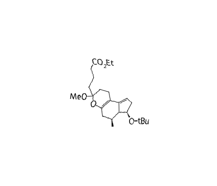 CCOC(=O)CCCC1(OC)CCC2=C(C[C@H](C)C3C2=CC[C@H]3OC(C)(C)C)O1